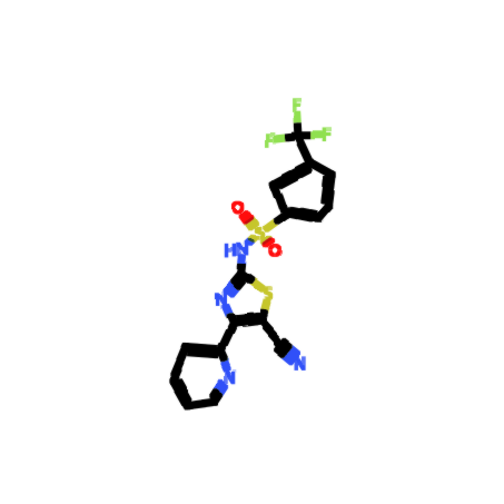 N#Cc1sc(NS(=O)(=O)c2cccc(C(F)(F)F)c2)nc1-c1ccccn1